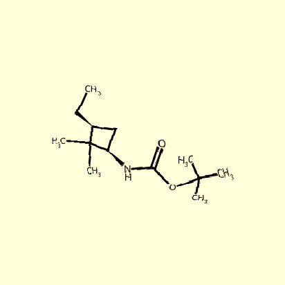 CC[C@H]1C[C@@H](NC(=O)OC(C)(C)C)C1(C)C